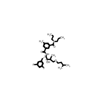 CCCN(CCC)C(=O)c1cc(C)cc(C(=O)N[C@@H](Cc2cc(F)cc(F)c2)[C@@H](O)C(C)COCCC(C)C)c1